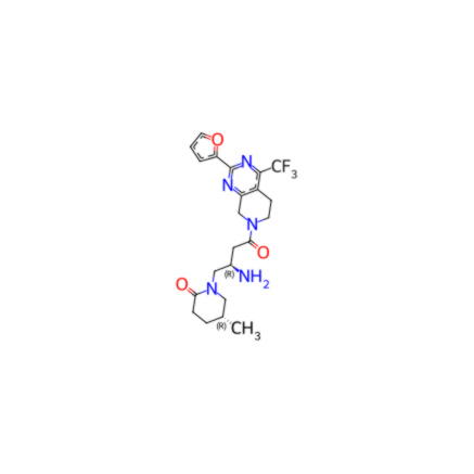 C[C@@H]1CCC(=O)N(C[C@H](N)CC(=O)N2CCc3c(nc(-c4ccco4)nc3C(F)(F)F)C2)C1